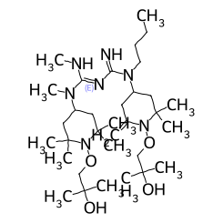 C=C1CC(N(CCCC)C(=N)/N=C(\NC)N(C)C2CC(C)(C)N(OCC(C)(C)O)C(C)(C)C2)CC(C)(C)N1OCC(C)(C)O